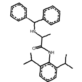 CC(NC(c1ccccc1)c1ccccc1)C(=O)Nc1c(C(C)C)cccc1C(C)C